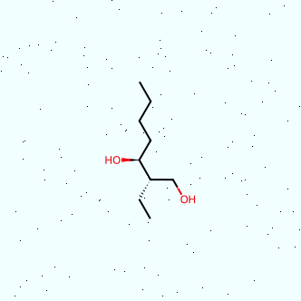 CCCC[C@H](O)[C@@H](CC)CO